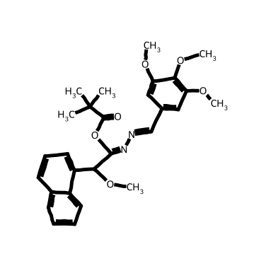 COc1cc(C=NN=C(OC(=O)C(C)(C)C)C(OC)c2cccc3ccccc23)cc(OC)c1OC